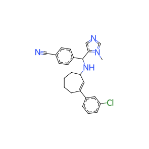 Cn1cncc1C(NC1C=C(c2cccc(Cl)c2)CCCC1)c1ccc(C#N)cc1